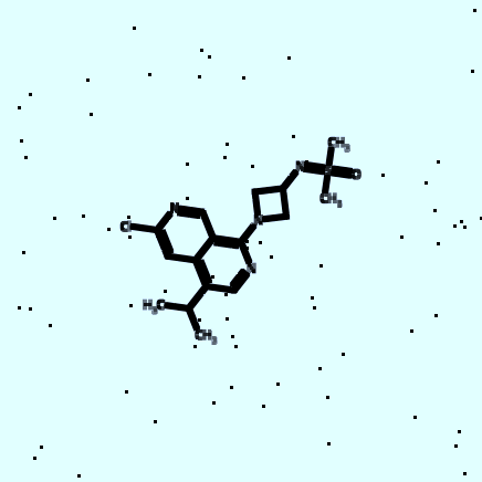 CC(C)c1cnc(N2CC(N=S(C)(C)=O)C2)c2cnc(Cl)cc12